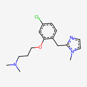 CN(C)CCCOc1cc(Cl)ccc1Cc1nccn1C